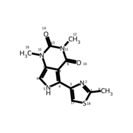 Cc1nc(-c2[nH]cc3c2c(=O)n(C)c(=O)n3C)cs1